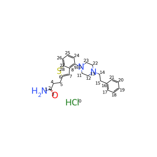 Cl.NC(=O)CCc1cc2c(N3CCN(CCc4ccccc4)CC3)cccc2s1